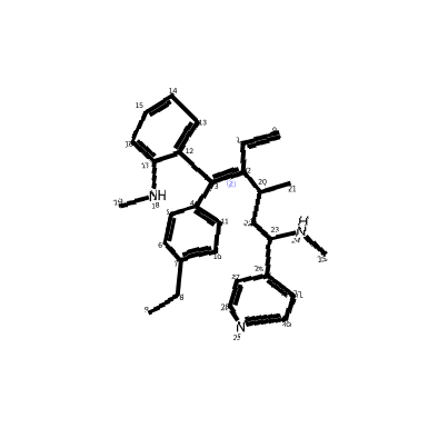 C=C/C(=C(/c1ccc(CC)cc1)c1ccccc1NC)C(C)CC(NC)c1ccncc1